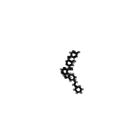 Cc1ccc(Oc2ccc(Nc3ncnc4sc5c(c34)CCC(CCN3CCCCC3)C5)cc2C)cn1